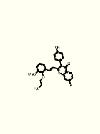 COc1cccc(/C=C/c2oc3cc(F)ccc3c(=O)c2-c2ccc(C#N)cc2)c1OCCC(F)(F)F